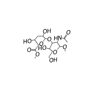 COC(=O)C1OC(OC2C(O)C(CO)OC(OC)C2NC(C)=O)C(O)CC1O